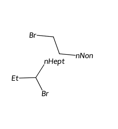 CCCCCCCC(Br)CC.CCCCCCCCCCCBr